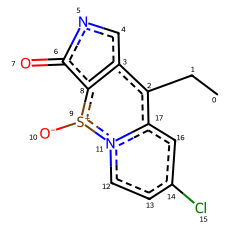 CCc1c2cnc(=O)c=2[s+]([O-])n2ccc(Cl)cc12